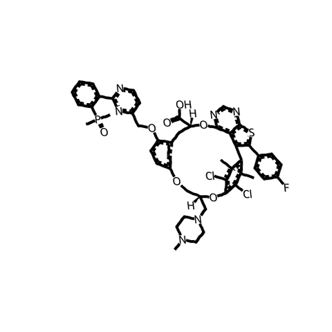 Cc1c(Cl)c2c(Cl)c(C)c1-c1c(-c3ccc(F)cc3)sc3ncnc(c13)O[C@@H](C(=O)O)Cc1cc(ccc1OCc1ccnc(-c3ccccc3P(C)(C)=O)n1)OC[C@@H](CN1CCN(C)CC1)O2